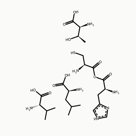 CC(C)C[C@H](N)C(=O)O.CC(C)[C@H](N)C(=O)O.C[C@@H](O)[C@H](N)C(=O)O.N[C@@H](CS)C(=O)OC(=O)[C@@H](N)Cc1c[nH]cn1